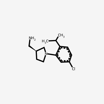 CC(C)c1ccc(Cl)cc1N1CC[C@@H](CN)C1